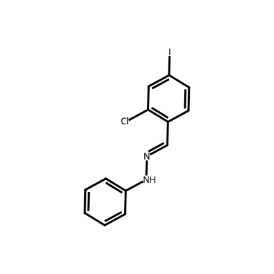 Clc1cc(I)ccc1C=NNc1ccccc1